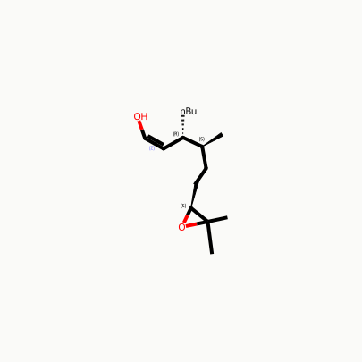 CCCC[C@@H](/C=C\O)[C@@H](C)CC[C@@H]1OC1(C)C